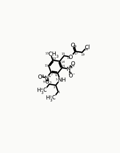 CCC(CC)Nc1c([N+](=O)[O-])cc(C)c(COC(=O)CCl)c1[N+](=O)[O-]